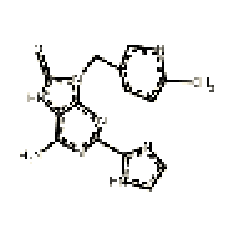 Cc1ccc(Cn2c(=O)[nH]c3c(N)nc(-c4ncc[nH]4)nc32)cn1